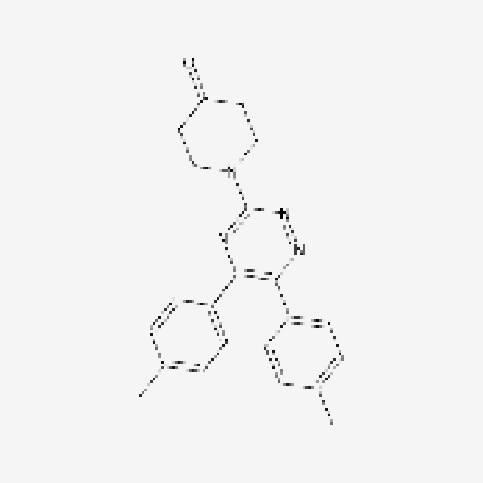 Cc1ccc(-c2nnc(N3CCC(=O)CC3)nc2-c2ccc(C)cc2)cc1